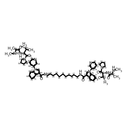 CN[C@@H](C)C(=O)N[C@H](C(=O)N1CCC[C@H]1c1cncc(-n2cc(C(=O)NCCCCCCCCCCCNC(=O)c3cn(-c4cncc([C@@H]5CCCN5C(=O)[C@@H](NC(=O)[C@H](C)NC)C(C)C)c4)c4ccccc34)c3ccccc32)c1)C(C)C